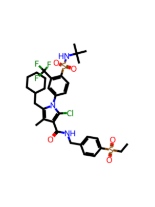 CCS(=O)(=O)c1ccc(CNC(=O)c2c(C)c(CC3CCCCC3)n(-c3ccc(S(=O)(=O)NC(C)(C)C)c(C(F)(F)F)c3)c2Cl)cc1